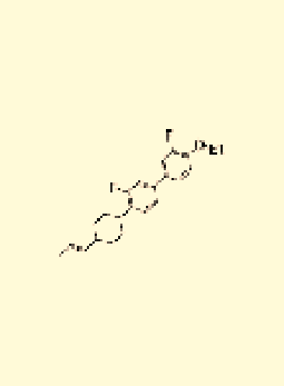 C/C=C/C1CCC(c2ccc(-c3ccc(OCC)c(F)c3)cc2F)CC1